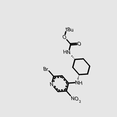 CC(C)(C)OC(=O)N[C@@H]1CCC[C@H](Nc2cc(Br)ncc2[N+](=O)[O-])C1